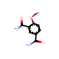 CC(C)Oc1ccc(C(N)=O)cc1C(N)=O